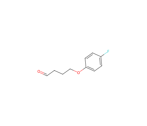 O=CCCCOc1ccc(F)cc1